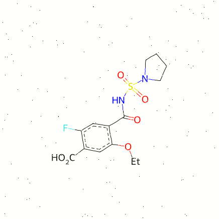 CCOc1cc(C(=O)O)c(F)cc1C(=O)NS(=O)(=O)N1CCCC1